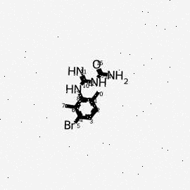 Cc1ccc(Br)c(C)c1NC(=N)NC(N)=O